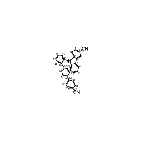 N#Cc1ccc2c(c1)c1ccccc1n2-c1ccccc1-c1ccc(-c2ccc(C#N)nc2)cc1